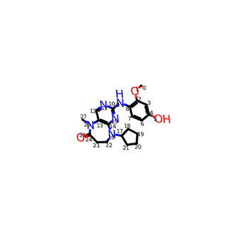 COc1cc(O)ccc1Nc1ncc2c(n1)N(C1CCCC1)CCC(=O)N2C